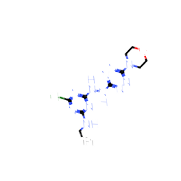 CC(C)CNc1nc(Cl)nc(NNc2nnc(N3CCOCC3)nn2)n1